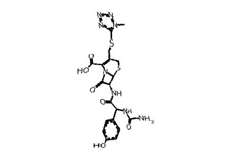 Cn1nnnc1SCC1=C(C(=O)O)N2C(=O)[C@H](NC(=O)C(NC(N)=O)c3ccc(O)cc3)C2SC1